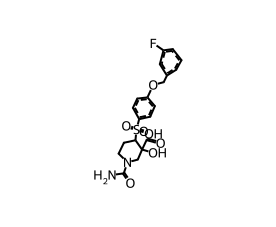 NC(=O)N1CCC(S(=O)(=O)c2ccc(OCc3cccc(F)c3)cc2)C(O)(C(=O)O)C1